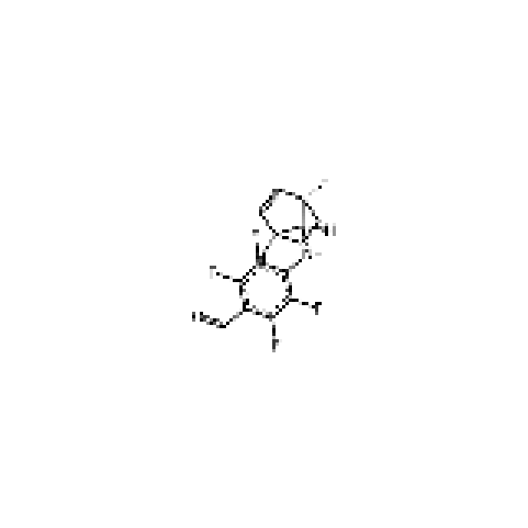 O=Cc1c(F)c(F)c(N[C@H]2[C@@H]3C=C[C@H]2CC3)c(F)c1F